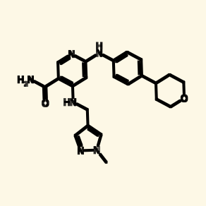 Cn1cc(CNc2cc(Nc3ccc(C4CCOCC4)cc3)ncc2C(N)=O)cn1